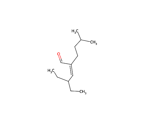 CCC(C=C(C=O)CCC(C)C)CC